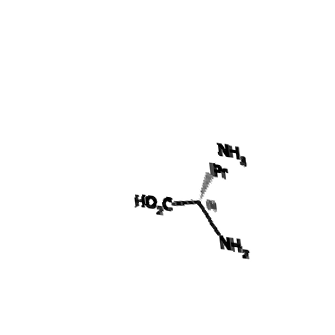 CC(C)[C@H](N)C(=O)O.N